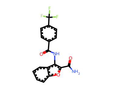 NC(=O)c1oc2ccccc2c1NC(=O)c1ccc(C(F)(F)F)cc1